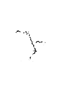 CCCCCCC/C=C\COC(=O)CC(C)(C)CCCCC(CCCCC(C)(C)CC(=O)OCC(CCCCC)CCCCCCC)OC(=O)CCCN(C)C